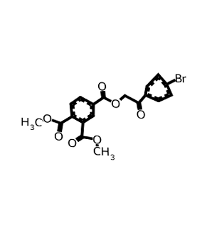 COC(=O)c1ccc(C(=O)OCC(=O)c2ccc(Br)cc2)cc1C(=O)OC